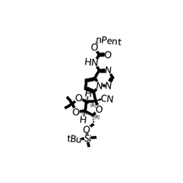 CCCCCOC(=O)Nc1ncnn2c([C@]3(C#N)O[C@H](CO[Si](C)(C)C(C)(C)C)[C@H]4OC(C)(C)O[C@H]43)ccc12